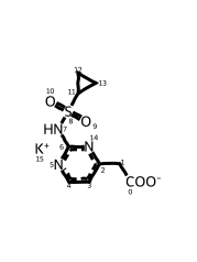 O=C([O-])Cc1ccnc(NS(=O)(=O)C2CC2)n1.[K+]